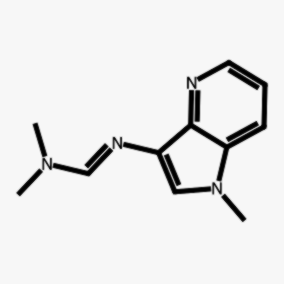 CN(C)C=Nc1cn(C)c2cccnc12